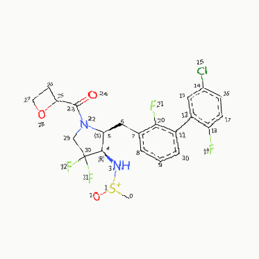 C[S+]([O-])N[C@@H]1[C@H](Cc2cccc(-c3cc(Cl)ccc3F)c2F)N(C(=O)C2CCO2)CC1(F)F